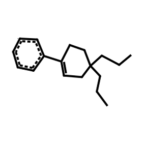 CCCC1(CCC)CC=C(c2c[c]ccc2)CC1